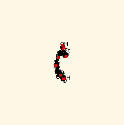 CCC(=C(c1ccc(O)cc1)c1ccc(OCCCCN2CC3CN(c4ccc5c(c4)C(=O)N(C4CCC(=O)NC4=O)C5=O)CC3C2)cc1)c1ccccc1